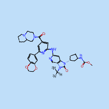 [2H]C([2H])([2H])n1c(=O)n([C@@H]2CC[C@@H](NC(=O)OC)C2)c2cc(Nc3cc(C(=O)N4CCN5CCCCC5C4)cc(-c4ccc5c(c4)OCCO5)n3)ncc21